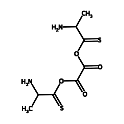 CC(N)C(=S)OC(=O)C(=O)OC(=S)C(C)N